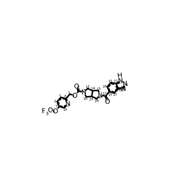 O=C(OCc1ccc(OC(F)(F)F)cn1)N1CC2CN(C(=O)c3ccc4[nH]nnc4c3)CC2C1